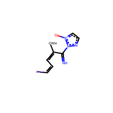 CO/C(=C/C=C\I)C(=N)n1ncc[n+]1[O-]